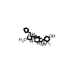 CCC[C@H]1[C@@H]2CC[C@@]34O[C@@H]5C[C@H](C)CN(Cc6ccccc6)[C@H]5[C@H]3CC43CC23C[C@@H]1[C@]1(C)C=C[C@@H](O)CC1